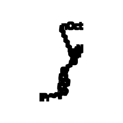 CCCCCCCC/C=C\CCCCCCCCOCC(Cn1ccnc1)OCCCCO[C@H]1CC[C@@]2(C)C(=CCC3C4CCC(C(C)CCCC(C)C)[C@@]4(C)CCC32)C1